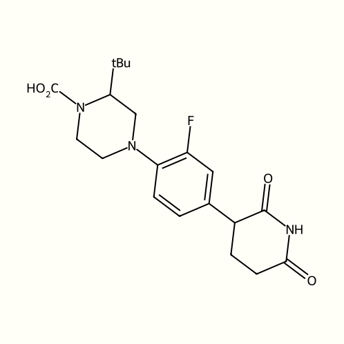 CC(C)(C)C1CN(c2ccc(C3CCC(=O)NC3=O)cc2F)CCN1C(=O)O